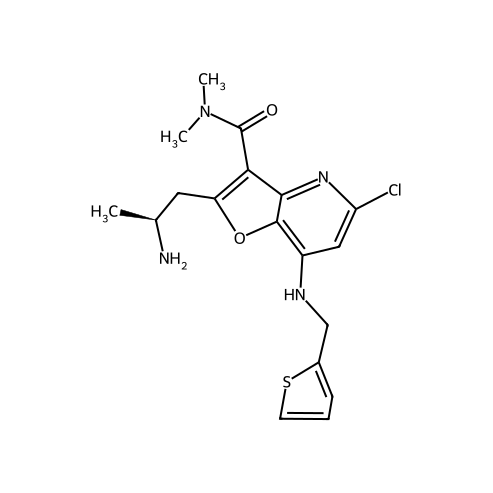 C[C@H](N)Cc1oc2c(NCc3cccs3)cc(Cl)nc2c1C(=O)N(C)C